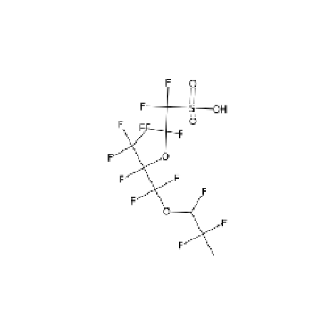 CC(F)(F)C(F)OC(F)(F)C(F)(OC(F)(F)C(F)(F)S(=O)(=O)O)C(F)(F)F